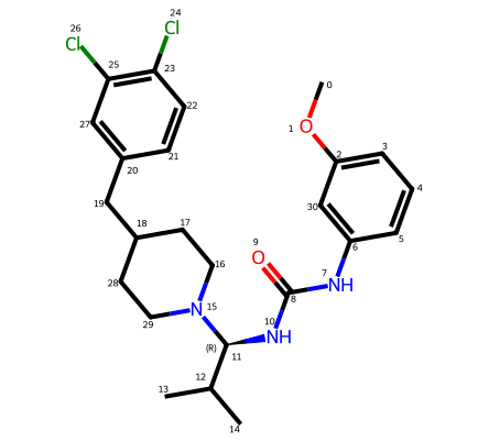 COc1cccc(NC(=O)N[C@@H](C(C)C)N2CCC(Cc3ccc(Cl)c(Cl)c3)CC2)c1